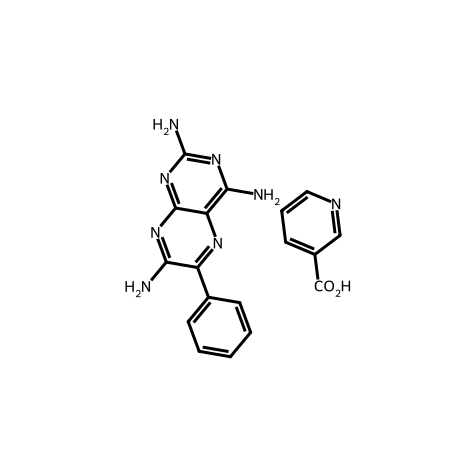 Nc1nc(N)c2nc(-c3ccccc3)c(N)nc2n1.O=C(O)c1cccnc1